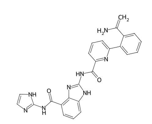 C=C(N)c1ccccc1-c1cccc(C(=O)Nc2nc3c(C(=O)Nc4ncc[nH]4)cccc3[nH]2)n1